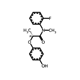 C[C@@H](Oc1ccc(O)cc1)C(=O)N(C)c1ccccc1F